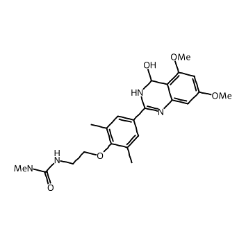 CNC(=O)NCCOc1c(C)cc(C2=Nc3cc(OC)cc(OC)c3C(O)N2)cc1C